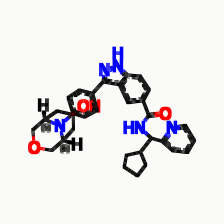 O=C(NC(c1ccccn1)C1CCCC1)c1ccc2[nH]nc(-c3ccc(N4[C@@H]5COC[C@H]4CC(O)C5)cc3)c2c1